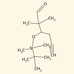 C#CCC(O[Si](C)(C)C(C)(C)C)C(C)(C)C=O